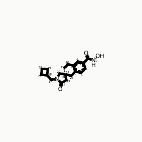 O=C(NO)c1ccc2c(c1)CC[C@@]1(CC(=O)N(CC3CCC3)C1)C2